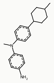 CC1CCC(c2ccc(N(C)c3ccc(N)cc3)cc2)CC1